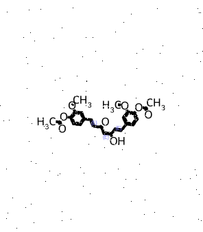 COc1cc(/C=C/C(=O)/C=C(O)\C=C\c2ccc(OC(C)=O)c(OC)c2)ccc1OC(C)=O